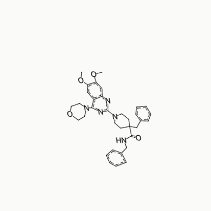 COc1cc2nc(N3CCC(Cc4ccccc4)(C(=O)NCc4ccccc4)CC3)nc(N3CCOCC3)c2cc1OC